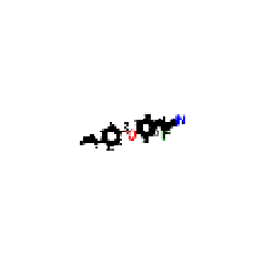 CCC[C@H]1CC[C@H](COC2CCC(C=C(F)C#N)CC2)CC1